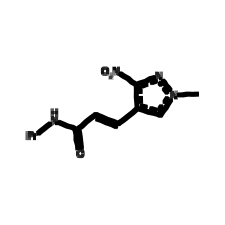 CC(C)NC(=O)C=Cc1cn(C)nc1[N+](=O)[O-]